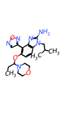 CCC(Oc1ccc2c(nc(N)n2CC(C)C)c1-c1cnon1)N1CCOCC1